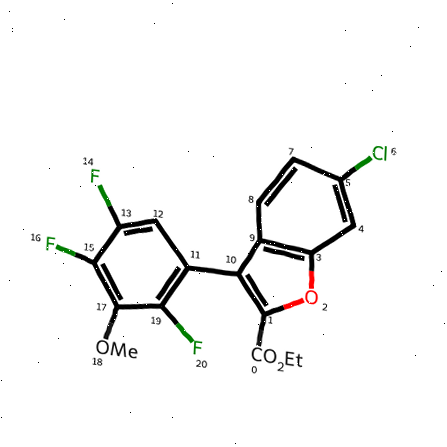 CCOC(=O)c1oc2cc(Cl)ccc2c1-c1cc(F)c(F)c(OC)c1F